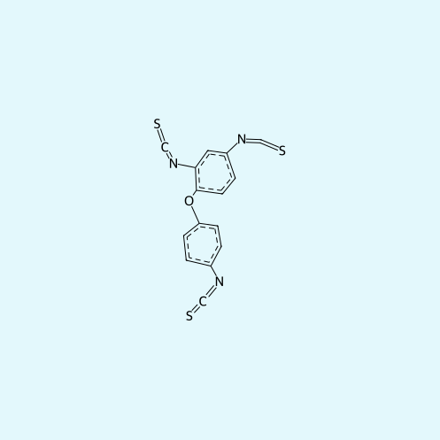 S=C=Nc1ccc(Oc2ccc(N=C=S)cc2N=C=S)cc1